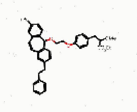 CCCc1ccc2c(c1)C=Cc1cc(CCc3ccccc3)ccc1C2OCCOc1ccc(CC(OC)C(=O)OCC)cc1